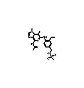 CCc1cc(CNS(C)(=O)=O)ccc1Nc1nc(NC(C)=O)c2nc[nH]c2c1C